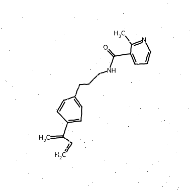 C=CC(=C)c1ccc(CCCNC(=O)c2cccnc2C)cc1